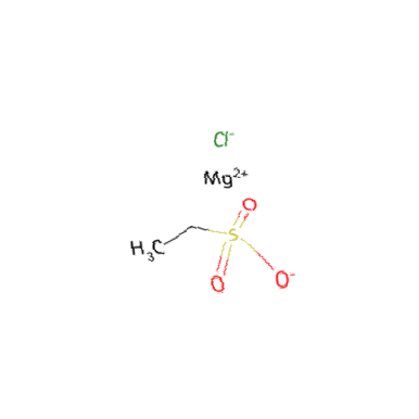 CCS(=O)(=O)[O-].[Cl-].[Mg+2]